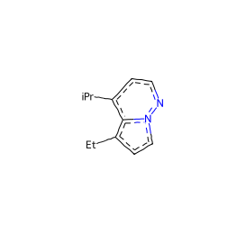 CCc1ccn2nccc(C(C)C)c12